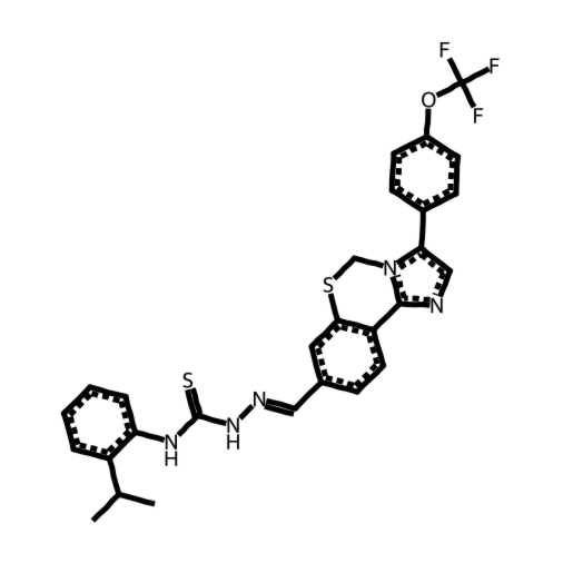 CC(C)c1ccccc1NC(=S)NN=Cc1ccc2c(c1)SCn1c(-c3ccc(OC(F)(F)F)cc3)cnc1-2